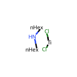 CCCCCCNCCCCCC.[Cl][Ti][Cl]